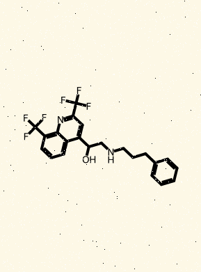 OC(CNCCCc1ccccc1)c1cc(C(F)(F)F)nc2c(C(F)(F)F)cccc12